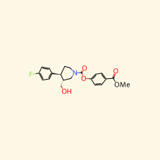 COC(=O)c1ccc(OC(=O)N2CC[C@H](c3ccc(F)cc3)[C@@H](CO)C2)cc1